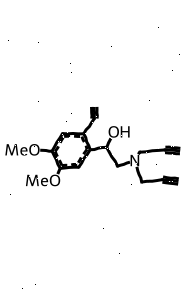 C#CCN(CC#C)CC(O)c1cc(OC)c(OC)cc1C#C